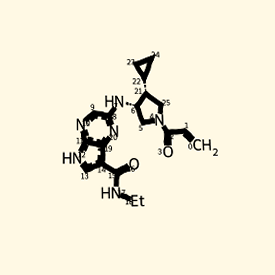 C=CC(=O)N1C[C@H](Nc2cnc3[nH]cc(C(=O)NCC)c3n2)[C@H](C2CC2)C1